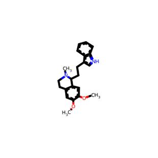 COc1cc2c(cc1OC)C(CCc1c[nH]c3ccccc13)N(C)CC2